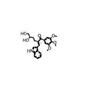 COc1cc(C(=O)/C(=C/c2c[nH]c3ccccc23)CCC(O)CO)cc(OC)c1OC